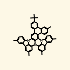 Cc1ccc2c(c1)c1cc(C(C)(C)C)ccc1c1cc3c4c(c21)-n1c2ccc(C)cc2c2cc(C)cc(c21)B4c1cc(C)cc2c4cc(C)ccc4n-3c12